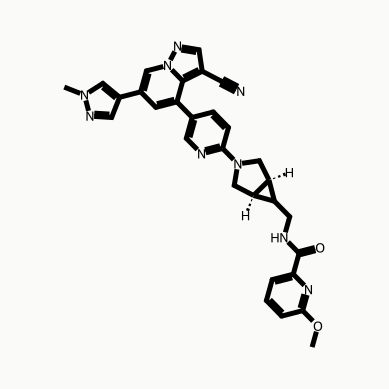 COc1cccc(C(=O)NCC2[C@H]3CN(c4ccc(-c5cc(-c6cnn(C)c6)cn6ncc(C#N)c56)cn4)C[C@@H]23)n1